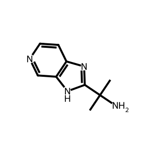 CC(C)(N)c1nc2ccncc2[nH]1